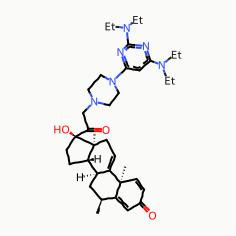 CCN(CC)c1cc(N2CCN(CC(=O)[C@@]3(O)CC[C@H]4[C@@H]5C[C@H](C)C6=CC(=O)C=C[C@]6(C)C5=CC[C@@]43C)CC2)nc(N(CC)CC)n1